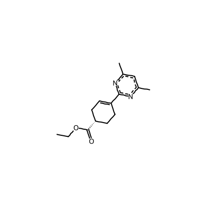 CCOC(=O)[C@@H]1CC=C(c2nc(C)cc(C)n2)CC1